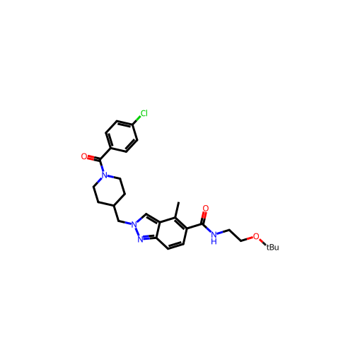 Cc1c(C(=O)NCCOC(C)(C)C)ccc2nn(CC3CCN(C(=O)c4ccc(Cl)cc4)CC3)cc12